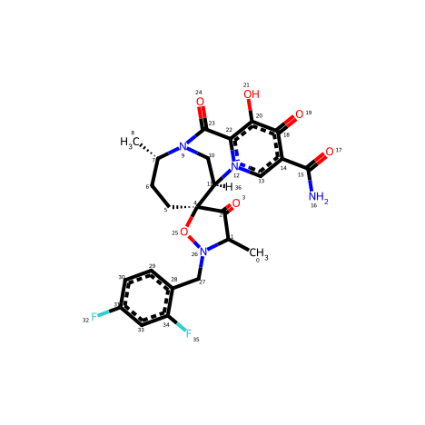 CC1C(=O)[C@@]2(CC[C@H](C)N3C[C@H]2n2cc(C(N)=O)c(=O)c(O)c2C3=O)ON1Cc1ccc(F)cc1F